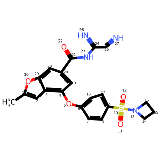 Cc1cc2c(Oc3ccc(S(=O)(=O)N4CCC4)cc3)cc(C(=O)NC(=N)C=N)cc2o1